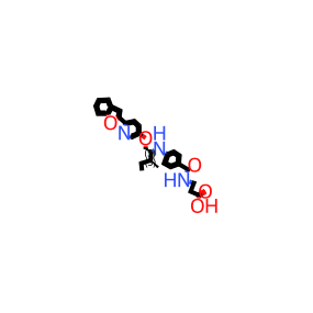 CC[C@H](C)[C@@H](COc1ccc(-c2cc3ccccc3o2)nc1)Nc1ccc(C(=O)NCCC(=O)O)cc1